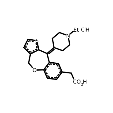 CCN1CCC(=C2c3cc(CC(=O)O)ccc3OCc3ccsc32)CC1.Cl